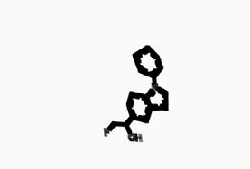 OC(CF)c1ccc2c(ccn2-c2ccccc2)c1